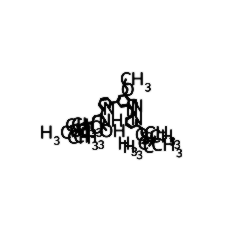 CCOc1cc(-c2cccc(C(CCCO[Si](C)(C)C(C)(C)C)NC(=O)O)n2)cc2c1cnn2-c1cccc(CO[Si](C)(C)C(C)(C)C)n1